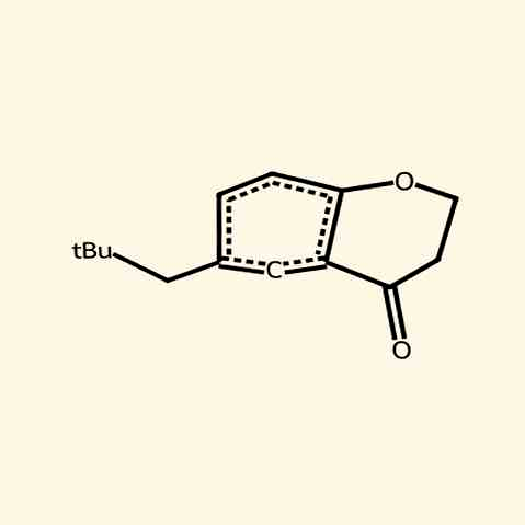 CC(C)(C)Cc1ccc2c(c1)C(=O)CCO2